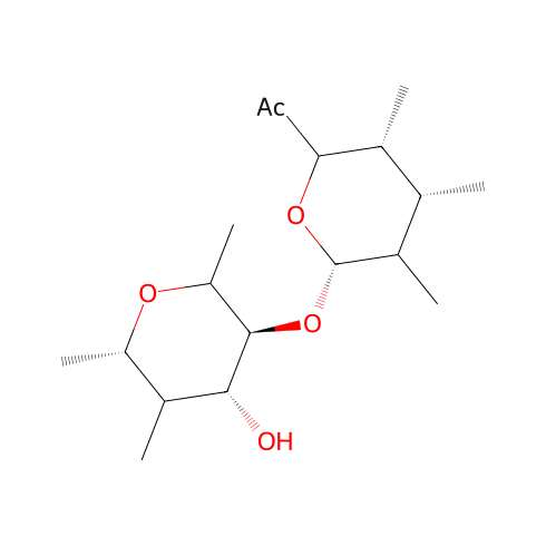 CC(=O)C1O[C@@H](O[C@@H]2C(C)O[C@@H](C)C(C)[C@H]2O)C(C)[C@@H](C)[C@H]1C